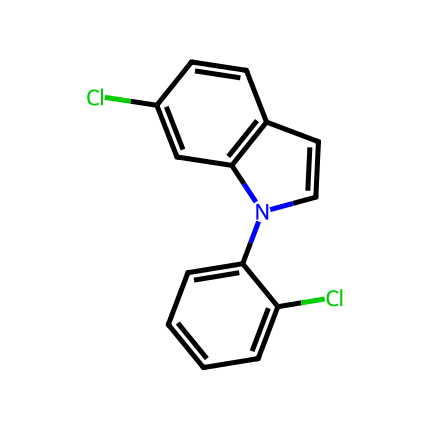 Clc1ccc2ccn(-c3ccccc3Cl)c2c1